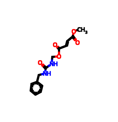 COC(=O)/C=C/C(=O)OCNC(=O)NCc1ccccc1